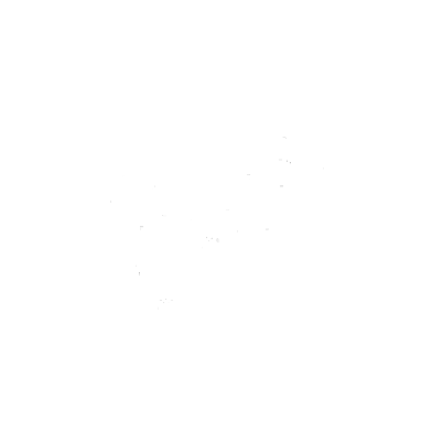 CO/C=C(/C(=O)OC)c1ccccc1COc1cccc(N2CCCC2)c1